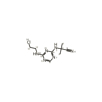 CC(C)(C#N)Nc1ncnc(NCCCl)n1